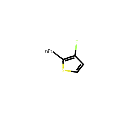 CCCc1sccc1F